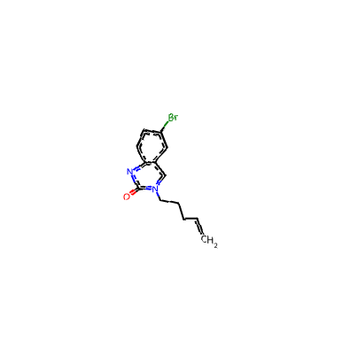 C=CCCCn1cc2cc(Br)ccc2nc1=O